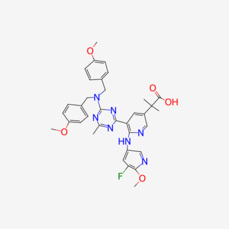 COc1ccc(CN(Cc2ccc(OC)cc2)c2nc(C)nc(-c3cc(C(C)(C)C(=O)O)cnc3Nc3cnc(OC)c(F)c3)n2)cc1